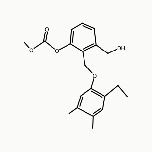 CCc1cc(C)c(C)cc1OCc1c(CO)cccc1OC(=O)OC